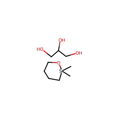 C[Si]1(C)CCCCO1.OCC(O)CO